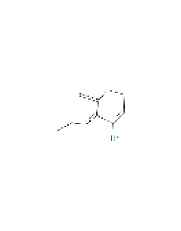 C=C1CCC=C(Br)/C1=C/CC